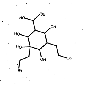 CCC(C)C(O)C1C(O)C(CCC(C)C)C(O)C(O)(CCC(C)C)C1O